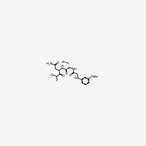 COc1cccc(NCC(=O)N[C@@H](CC(C)C)C(=O)NC(CC(N)=O)C(=O)C(F)Cl)c1